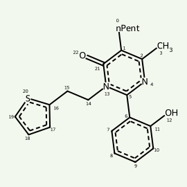 CCCCCc1c(C)nc(-c2ccccc2O)n(CCc2cccs2)c1=O